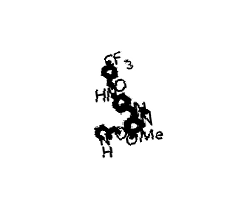 COc1cc2ncnc(-c3ccc(NC(=O)Cc4ccc(C(F)(F)F)cc4)cc3)c2cc1OCC1CCCNC1